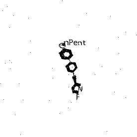 CCCCCOc1ccc([C@H]2CC[C@H](C#Cc3ccc(F)nc3)CC2)cc1